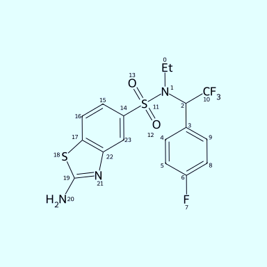 CCN(C(c1ccc(F)cc1)C(F)(F)F)S(=O)(=O)c1ccc2sc(N)nc2c1